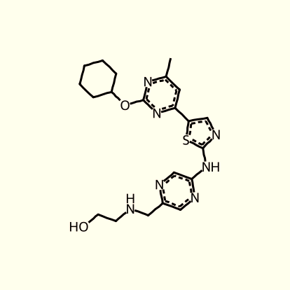 Cc1cc(-c2cnc(Nc3cnc(CNCCO)cn3)s2)nc(OC2CCCCC2)n1